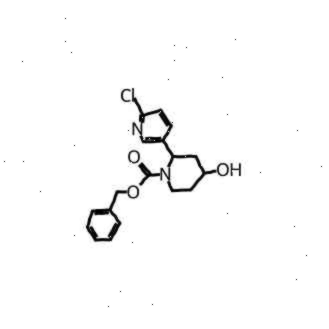 O=C(OCc1ccccc1)N1CCC(O)CC1c1ccc(Cl)nc1